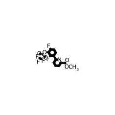 COC(=O)c1cccc(-c2ccc(F)c(OS(=O)(=O)C(F)(F)F)c2F)n1